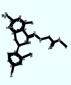 COC(=O)CO/N=C1\N[C@@H](c2ccc(F)cc2Br)Cc2nc(N)nc(C)c21